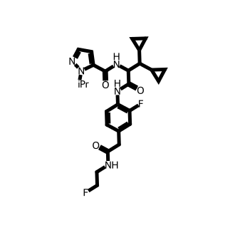 CC(C)n1nccc1C(=O)NC(C(=O)Nc1ccc(CC(=O)NCCF)cc1F)C(C1CC1)C1CC1